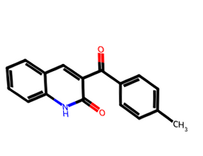 Cc1ccc(C(=O)c2cc3ccccc3[nH]c2=O)cc1